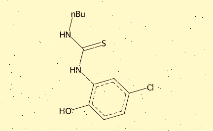 CCCCNC(=S)Nc1cc(Cl)ccc1O